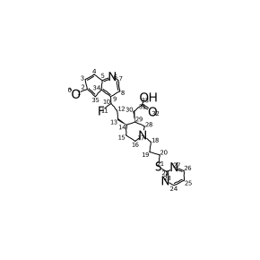 COc1ccc2nccc(C(F)CC[C@@H]3CCN(CCCSc4ncccn4)C[C@@H]3CC(=O)O)c2c1